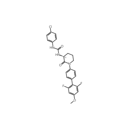 COc1cc(F)c(-c2ccc(N3CCC[C@H](NC(=O)Nc4ccc(Cl)cc4)C3=O)cc2)c(F)c1